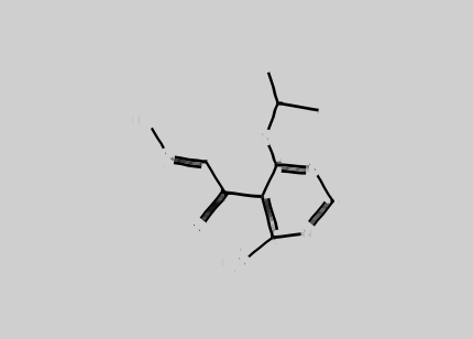 CC(C)Nc1ncnc(N)c1C(=N)/C=N/O